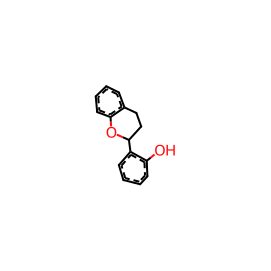 Oc1ccccc1C1CCc2ccccc2O1